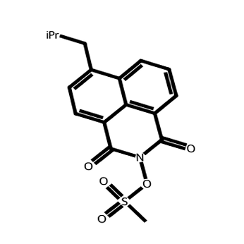 CC(C)Cc1ccc2c3c(cccc13)C(=O)N(OS(C)(=O)=O)C2=O